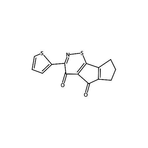 O=C1C2=C(CCC2)c2snc(-c3cccs3)c(=O)c21